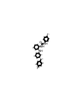 O=C(Nc1ccc(F)cc1)N[C@@H]1CCCC[C@H]1N[C@@H]1CCC[C@@H](Cc2ccc(F)cc2)C1